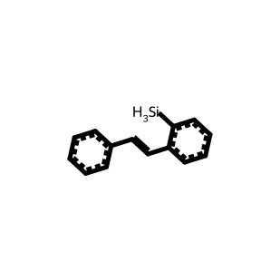 [SiH3]c1ccccc1C=Cc1ccccc1